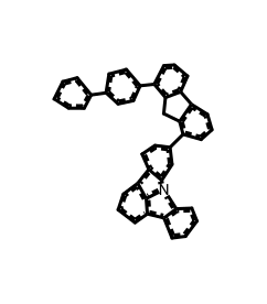 c1ccc(-c2ccc(-c3cccc4c3Cc3c(-c5ccc6c7cccc8c9ccccc9n(c6c5)c87)cccc3-4)cc2)cc1